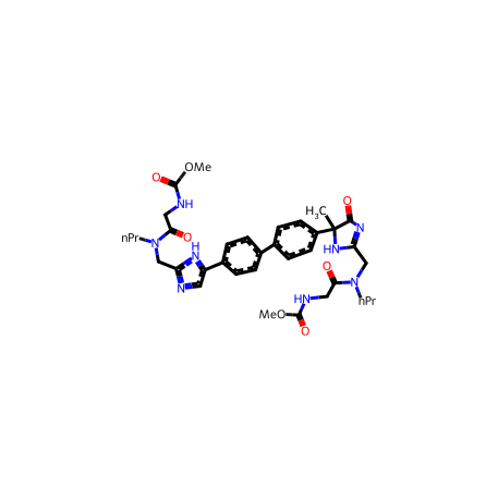 CCCN(CC1=NC(=O)C(C)(c2ccc(-c3ccc(-c4cnc(CN(CCC)C(=O)CNC(=O)OC)[nH]4)cc3)cc2)N1)C(=O)CNC(=O)OC